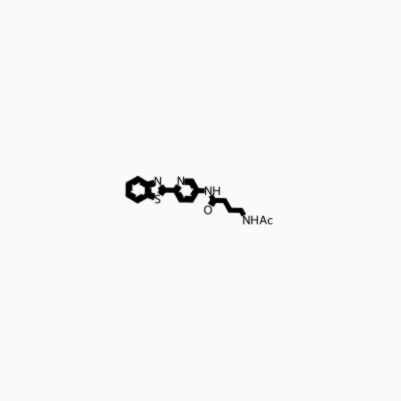 CC(=O)NCCCC(=O)Nc1ccc(-c2nc3ccccc3s2)nc1